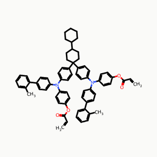 C=CC(=O)Oc1ccc(N(c2ccc(-c3ccccc3C)cc2)c2ccc(C3(c4ccc(N(c5ccc(OC(=O)C=C)cc5)c5ccc(-c6ccccc6C)cc5)cc4)CCC(C4CCCCC4)CC3)cc2)cc1